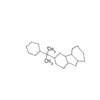 CC(C)(C1CCCCC1)C1CCC2CC3CCCCC3C2C1